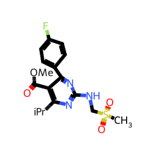 COC(=O)c1c(-c2ccc(F)cc2)nc(NCS(C)(=O)=O)nc1C(C)C